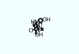 C[C@@H](O)c1nc(NC(C)(C)C)c2nc(NC3CCC(O)CC3)ncc2c1Cl